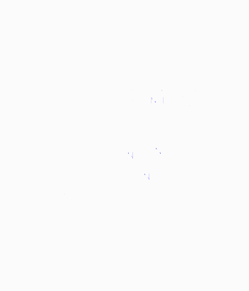 CC1(NC(=O)c2ccc3c(-c4cccc(OC(F)F)c4)cn(-c4ncc(F)cn4)c3c2)CCS(=O)(=O)C1